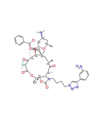 CCC1OC(=O)[C@@](C)(F)C(=O)[C@H](C)[C@@H](OC2O[C@H](C)C[C@H](N(C)C)[C@H]2OC(=O)c2ccccc2)[C@@](C)(OC)C[C@@H](C)C(=O)[C@H](C)C2N(CCCCn3cc(-c4cccc(N)c4)nn3)C(=O)O[C@]12C